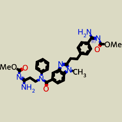 COC(=O)/N=C(/N)CCN(C(=O)c1ccc2c(c1)nc(CCc1ccc(/C(N)=N\C(=O)OC)cc1)n2C)c1ccccc1